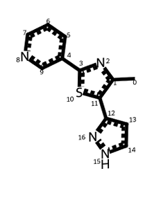 Cc1nc(-c2cccnc2)sc1-c1cc[nH]n1